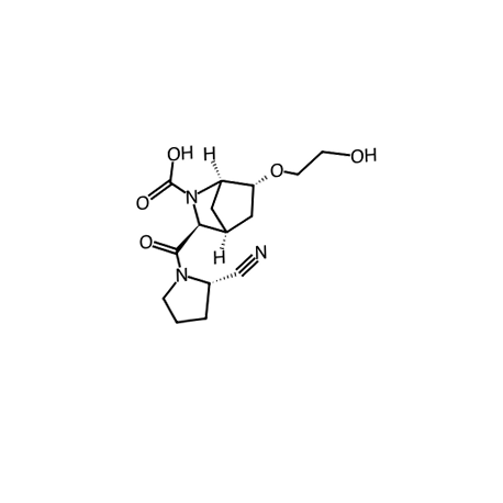 N#C[C@@H]1CCCN1C(=O)[C@@H]1[C@H]2C[C@H]([C@H](OCCO)C2)N1C(=O)O